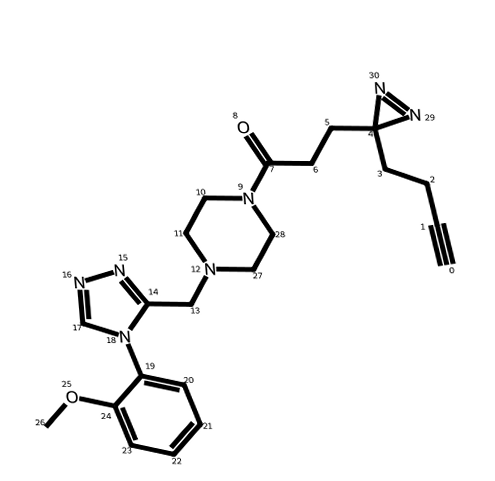 C#CCCC1(CCC(=O)N2CCN(Cc3nncn3-c3ccccc3OC)CC2)N=N1